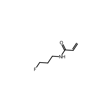 C=CC(=O)NCCCF